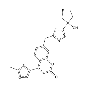 CCC(O)(CF)c1cn(Cc2ccc3c(-c4coc(C)n4)cc(=O)oc3c2)nn1